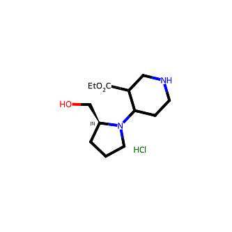 CCOC(=O)C1CNCCC1N1CCC[C@H]1CO.Cl